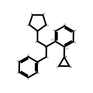 c1ccc(C[C](CC2CCCC2)c2ccccc2C2CC2)cc1